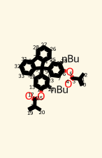 C=C(C)C(=O)Oc1ccc(C2(c3ccc(OC(=O)C(=C)C)c(CCCC)c3)c3ccccc3-c3ccccc32)cc1CCCC